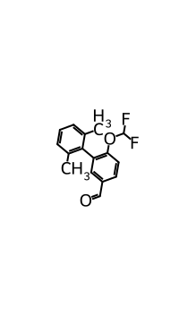 Cc1cccc(C)c1-c1cc(C=O)ccc1OC(F)F